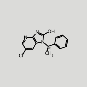 C[C@H](c1ccccc1)n1c(O)nc2ncc(Cl)cc21